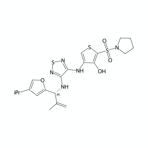 C=C(C)[C@@H](Nc1nsnc1Nc1csc(S(=O)(=O)N2CCCC2)c1O)c1cc(C(C)C)co1